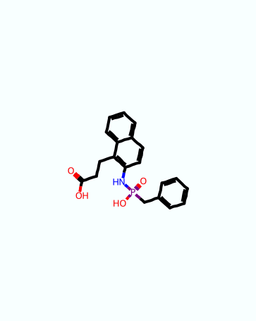 O=C(O)CCc1c(NP(=O)(O)Cc2ccccc2)ccc2ccccc12